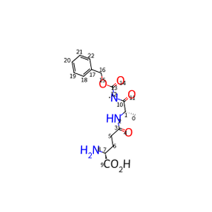 C[C@H](NC(=O)CC[C@H](N)C(=O)O)C(=O)[N]C(=O)OCc1ccccc1